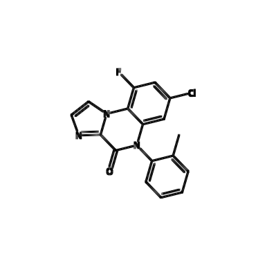 Cc1ccccc1-n1c(=O)c2nccn2c2c(F)cc(Cl)cc21